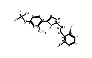 Cc1cc(OC(F)(F)F)ccc1-c1cnc(NCc2c(F)cccc2F)s1